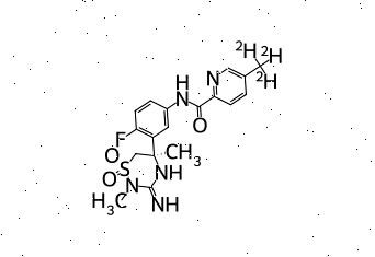 [2H]C([2H])([2H])c1ccc(C(=O)Nc2ccc(F)c([C@]3(C)CS(=O)(=O)N(C)C(=N)N3)c2)nc1